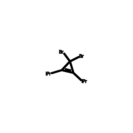 CC(C)C1=C(C(C)C)C1(Br)Br